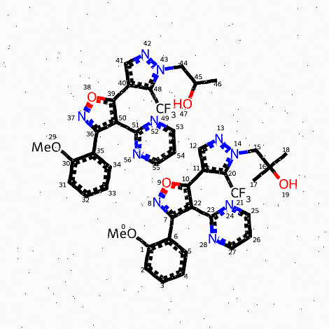 COc1ccccc1-c1noc(-c2cnn(CC(C)(C)O)c2C(F)(F)F)c1-c1ncccn1.COc1ccccc1-c1noc(-c2cnn(CC(C)O)c2C(F)(F)F)c1-c1ncccn1